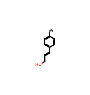 CC(C)c1ccc(C=CCO)cc1